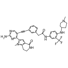 CN1CCC(Nc2ccc(NC(=O)Cc3cccc(C#Cc4cnc(N)nc4-c4cc5c(n4C)CCNC5=O)c3)cc2C(F)(F)F)CC1